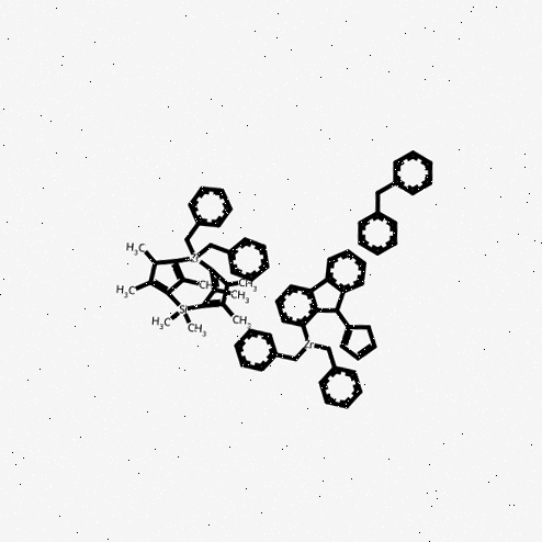 C1=CCC(C2c3ccccc3-c3ccc[c]([Zr]([CH2]c4ccccc4)[CH2]c4ccccc4)c32)=C1.CC1=[C]2C(C)C(C)=C1[Si](C)(C)C1=C(C)C(C)[C](=C1C)[Zr]2([CH2]c1ccccc1)[CH2]c1ccccc1.c1ccc(Cc2ccccc2)cc1